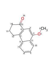 COc1cc2c(c3ccccc13)CCCC2=O